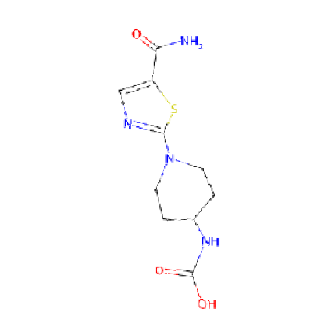 NC(=O)c1cnc(N2CCC(NC(=O)O)CC2)s1